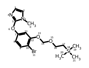 Cn1ccnc1Oc1ccc(Br)c(OCOCC[Si](C)(C)C)c1